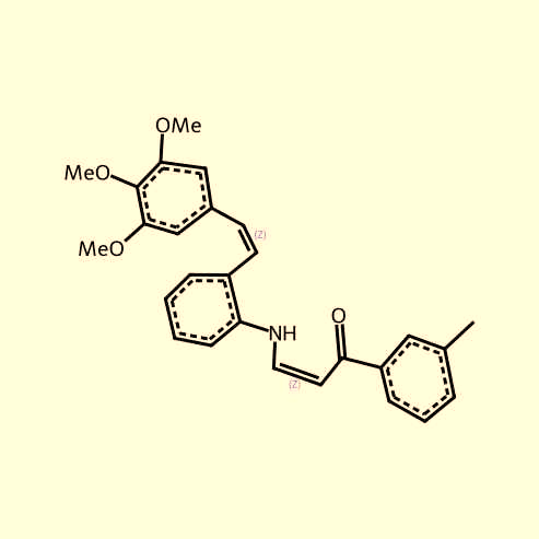 COc1cc(/C=C\c2ccccc2N/C=C\C(=O)c2cccc(C)c2)cc(OC)c1OC